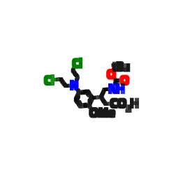 COc1ccc(N(CCCl)CCCl)cc1C(CNC(=O)OC(C)(C)C)CC(=O)O